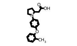 Cc1ccccc1Oc1ccc(N2CCCC2CC(=O)O)cc1